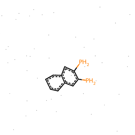 Pc1cc2ccccc2cc1P